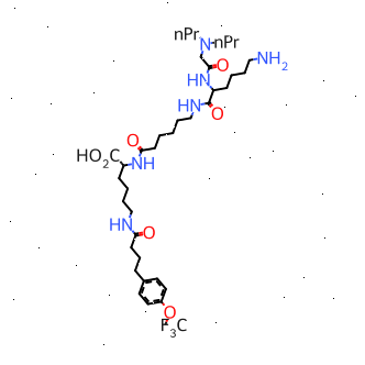 CCCN(CCC)CC(=O)NC(CCCCN)C(=O)NCCCCCC(=O)NC(CCCCNC(=O)CCCc1ccc(OC(F)(F)F)cc1)C(=O)O